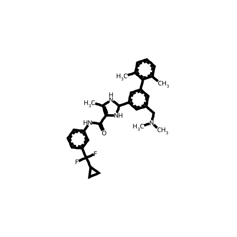 CC1=C(C(=O)Nc2cccc(C(F)(F)C3CC3)c2)NC(c2cc(CN(C)C)cc(-c3c(C)cccc3C)c2)N1